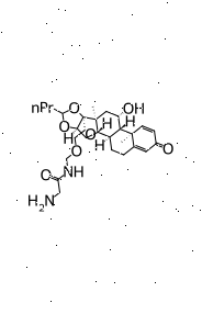 CCCC1O[C@@H]2C[C@H]3[C@@H]4CCC5=CC(=O)C=C[C@]5(C)[C@H]4[C@@H](O)C[C@]3(C)[C@]2(C(=O)COCNC(=O)CN)O1